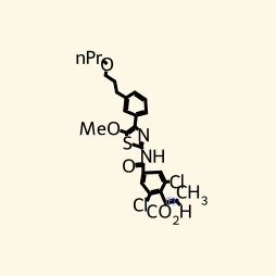 CCCOCCCc1cccc(-c2nc(NC(=O)c3cc(Cl)c(/C=C(\C)C(=O)O)c(Cl)c3)sc2OC)c1